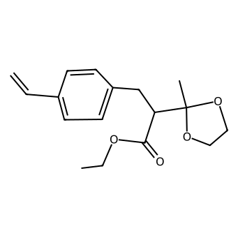 C=Cc1ccc(CC(C(=O)OCC)C2(C)OCCO2)cc1